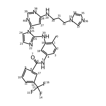 Cc1ccc(NC(=O)c2cccc(C(F)(F)F)c2)cc1Nc1nccn1-c1cc(NCCCn2ccnc2)ncn1